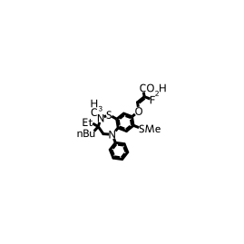 CCCCC1(CC)CN(c2ccccc2)c2cc(SC)c(O/C=C(\F)C(=O)O)cc2SN1C